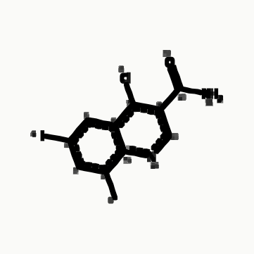 Cc1cc(I)cc2c(Cl)c(C(N)=O)cnc12